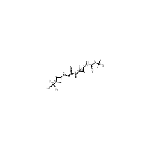 CC(C)(C)OC(=O)NC12CC(NC(=O)COC3CC(C(F)(F)F)C3)(C1)C2